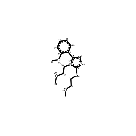 COCCSc1nnc(-c2ccccc2OC)n1CCOC